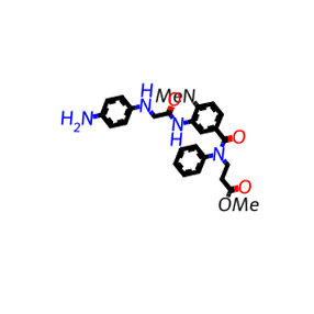 CNc1ccc(C(=O)N(CCC(=O)OC)c2ccccc2)cc1NC(=O)CNc1ccc(N)cc1